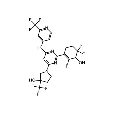 OC1C(F)=C(c2nc(Nc3ccnc(C(F)(F)F)c3)nc(N3CCC(O)(C(F)(F)F)C3)n2)CCC1(F)F